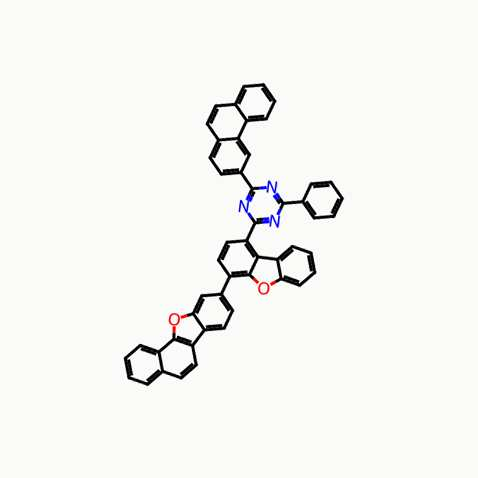 c1ccc(-c2nc(-c3ccc4ccc5ccccc5c4c3)nc(-c3ccc(-c4ccc5c(c4)oc4c6ccccc6ccc54)c4oc5ccccc5c34)n2)cc1